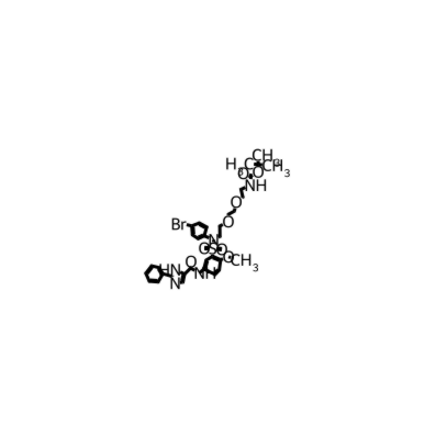 COc1ccc(NC(=O)c2cnc(-c3ccccc3)[nH]2)cc1S(=O)(=O)N(CCOCCOCCNC(=O)OC(C)(C)C)c1ccc(Br)cc1